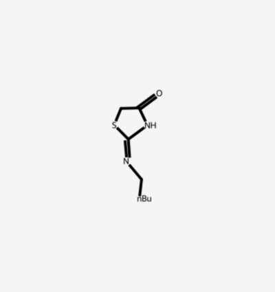 CCCCC/N=C1\NC(=O)CS1